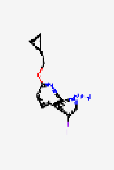 Ic1c[nH]c2nc(OCC3CC3)ccc12